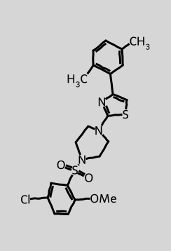 COc1ccc(Cl)cc1S(=O)(=O)N1CCN(c2nc(-c3cc(C)ccc3C)cs2)CC1